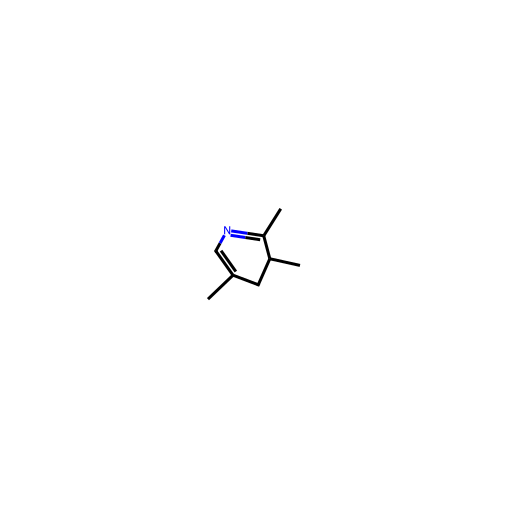 CC1=CN=C(C)C(C)C1